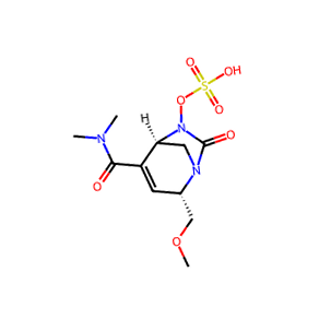 COC[C@@H]1C=C(C(=O)N(C)C)[C@@H]2CN1C(=O)N2OS(=O)(=O)O